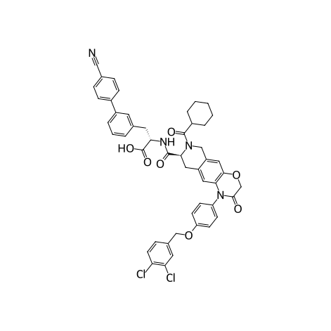 N#Cc1ccc(-c2cccc(C[C@H](NC(=O)[C@@H]3Cc4cc5c(cc4CN3C(=O)C3CCCCC3)OCC(=O)N5c3ccc(OCc4ccc(Cl)c(Cl)c4)cc3)C(=O)O)c2)cc1